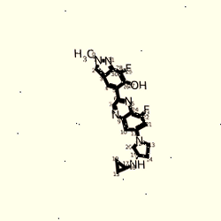 Cn1cc2cc(-c3cnc4cc(N5CC[C@H](NC6CC6)C5)cc(F)c4n3)c(O)c(F)c2n1